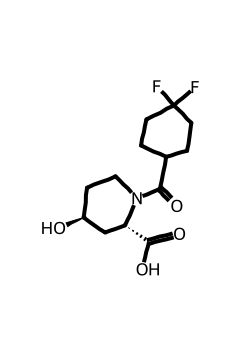 O=C(O)[C@@H]1C[C@@H](O)CCN1C(=O)C1CCC(F)(F)CC1